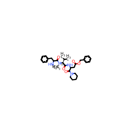 CNC(Cc1ccccc1)C(=O)N(C)[C@H](C(=O)NC(CC(=O)OCc1ccccc1)C(=O)N1CCCCC1)C(C)C